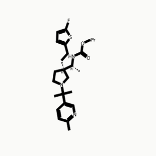 Cc1ccc(C(C)(C)N2CC[C@@](CCc3ccc(F)s3)([C@@H](C)NC(=O)OC(C)C)C2)cn1